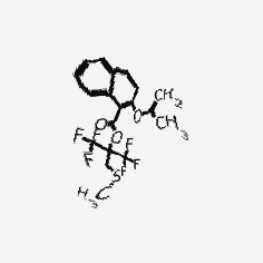 C=C(C)Oc1ccc2ccccc2c1C(=O)OC(CSC)(C(F)(F)F)C(F)(F)F